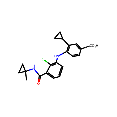 CC1(NC(=O)c2cccc(Nc3ccc(C(=O)O)cc3C3CC3)c2Cl)CC1